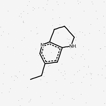 CCc1cnc2c(c1)NCCC2